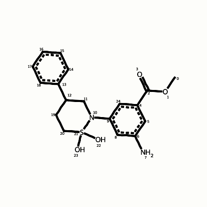 COC(=O)c1cc(N)cc(N2CC(c3ccccc3)CCS2(O)O)c1